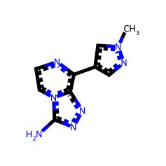 Cn1cc(-c2nccn3c(N)nnc23)cn1